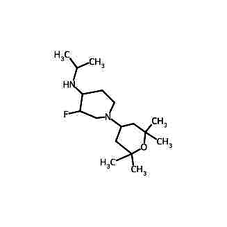 CC(C)NC1CCN(C2CC(C)(C)OC(C)(C)C2)CC1F